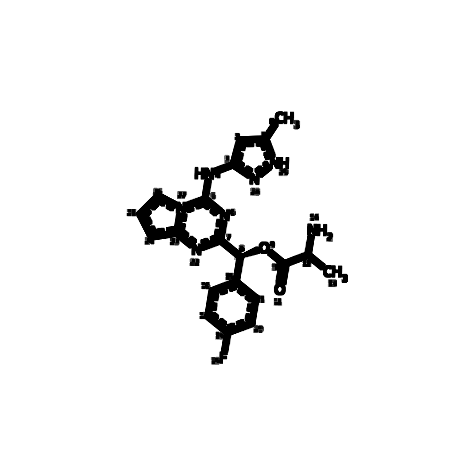 Cc1cc(Nc2nc([C@@H](OC(=O)C(C)N)c3ccc(F)cc3)nc3cccn23)n[nH]1